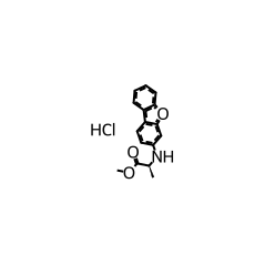 COC(=O)[C@H](C)Nc1ccc2c(c1)oc1ccccc12.Cl